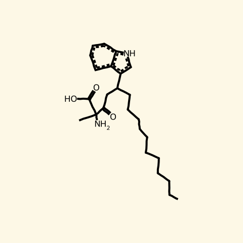 CCCCCCCCCCCC(CC(=O)C(C)(N)C(=O)O)c1c[nH]c2ccccc12